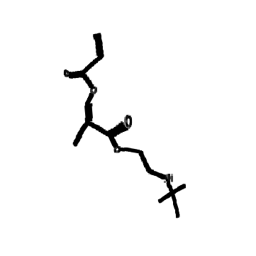 C=CC(=O)OC=C(C)C(=O)OCCNC(C)(C)C